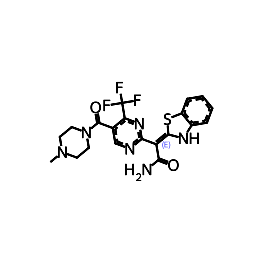 CN1CCN(C(=O)c2cnc(/C(C(N)=O)=C3/Nc4ccccc4S3)nc2C(F)(F)F)CC1